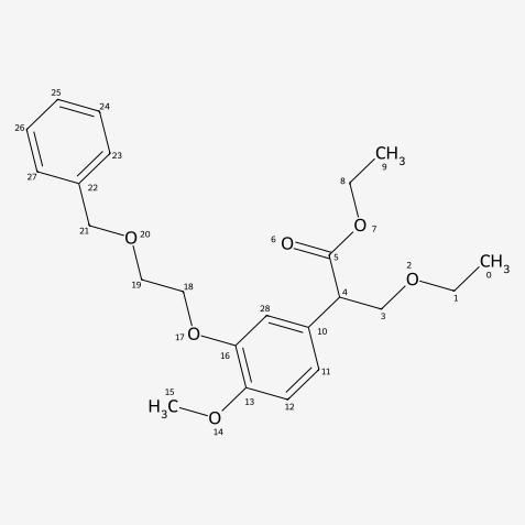 CCOCC(C(=O)OCC)c1ccc(OC)c(OCCOCc2ccccc2)c1